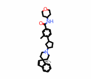 Cc1cc(C(=O)NC2CCOCC2)ccc1C1CCC(N2CCC3(C=Cc4ccccc43)[C@@H](C)C2)C1